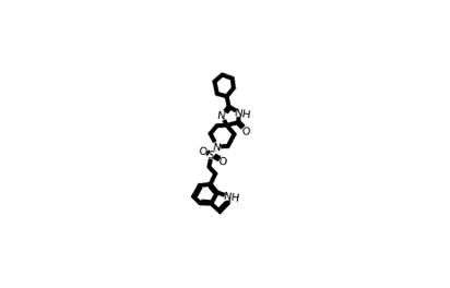 O=C1NC(C2CCCCC2)=NC12CCN(S(=O)(=O)CCc1cccc3cc[nH]c13)CC2